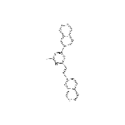 Cc1cc(-c2ccc3ccccc3c2)cc(C=Cc2ccc3ccccc3c2)n1